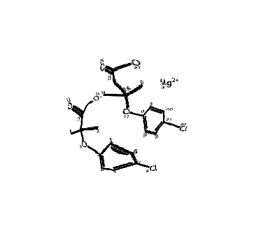 CC(C)(Oc1ccc(Cl)cc1)C(=O)[O-].CC(C)(Oc1ccc(Cl)cc1)C(=O)[O-].[Mg+2]